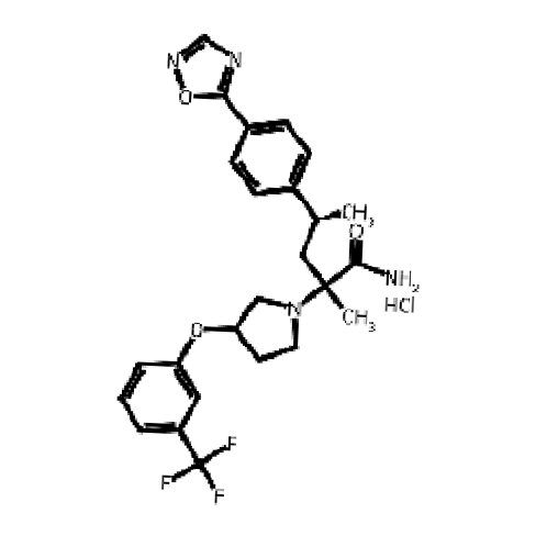 C[C@@H](CC(C)(C(N)=O)N1CCC(Oc2cccc(C(F)(F)F)c2)C1)c1ccc(-c2ncno2)cc1.Cl